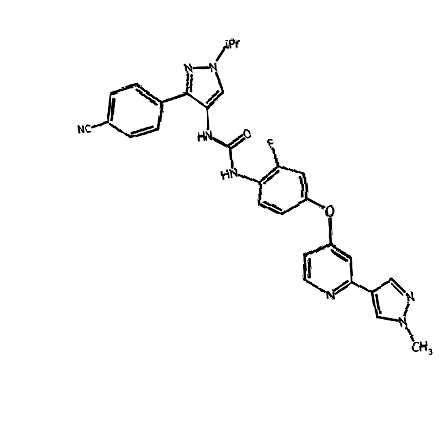 CC(C)n1cc(NC(=O)Nc2ccc(Oc3ccnc(-c4cnn(C)c4)c3)cc2F)c(-c2ccc(C#N)cc2)n1